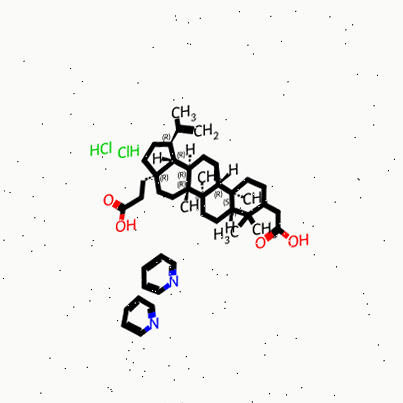 C=C(C)[C@@H]1CC[C@]2(CCC(=O)O)CC[C@]3(C)[C@H](CC[C@@H]4[C@@]5(C)CCC(CC(=O)O)C(C)(C)[C@@H]5CC[C@]43C)[C@@H]12.Cl.Cl.c1ccncc1.c1ccncc1